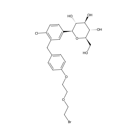 OC[C@H]1O[C@@H](c2ccc(Cl)c(Cc3ccc(OCCOCCBr)cc3)c2)[C@H](O)[C@@H](O)[C@@H]1O